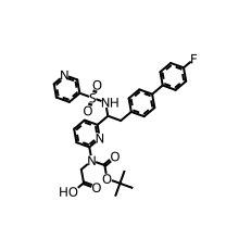 CC(C)(C)OC(=O)N(CC(=O)O)c1cccc(C(Cc2ccc(-c3ccc(F)cc3)cc2)NS(=O)(=O)c2cccnc2)n1